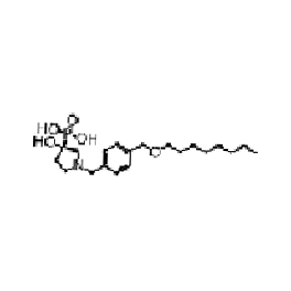 CCCCCCCCOCc1ccc(CN2CCC(O)(P(=O)(O)O)C2)cc1